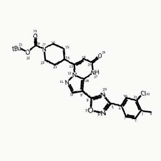 Cc1ccc(-c2noc(-c3cnn4c(C5CCN(C(=O)OC(C)(C)C)CC5)cc(=O)[nH]c34)n2)cc1Cl